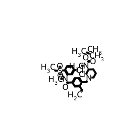 C=Cc1cc(C(=O)N(C)c2cc(Cl)ccc2S(=O)(=O)CC)cc(Cl)c1CN1CCC[C@H](N(C)C(=O)OC(C)(C)C)C1